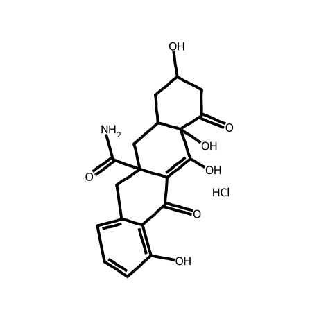 Cl.NC(=O)C12Cc3cccc(O)c3C(=O)C1=C(O)C1(O)C(=O)CC(O)CC1C2